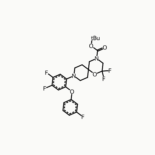 CC(C)(C)OC(=O)N1CC(F)(F)OC2(CCN(c3cc(F)c(F)cc3Oc3cccc(F)c3)CC2)C1